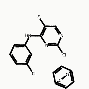 Fc1cnc(Cl)nc1Nc1cccc(Cl)c1.c1cc2ccc1CO2